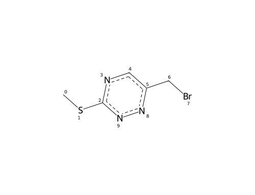 CSc1ncc(CBr)nn1